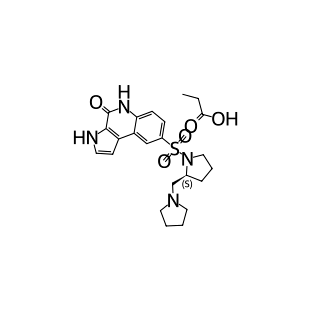 CCC(=O)O.O=c1[nH]c2ccc(S(=O)(=O)N3CCC[C@H]3CN3CCCC3)cc2c2cc[nH]c12